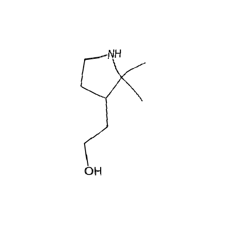 CC1(C)NCCC1CCO